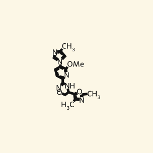 COc1nc(C2=NOCC(c3oc(C)nc3C)N2)ccc1-n1cnc(C)c1